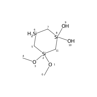 CO[Si]1(OC)C[SiH2]C[Si](O)(O)C1